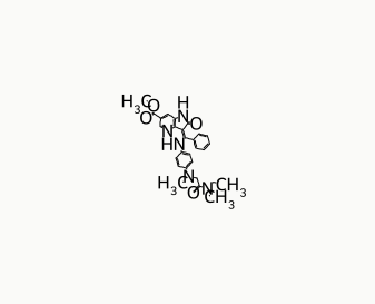 CCN(C)C(=O)CN(C)c1ccc(NC(=C2C(=O)Nc3cc(C(=O)OC)cnc32)c2ccccc2)cc1